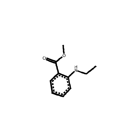 CCNc1ccccc1C(=O)OC